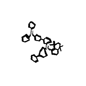 CC1(C)CCC(C)(C)c2c(N(c3ccc(-c4ccccc4)cc3)c3cccc(-c4ccc(N(c5ccccc5)c5ccccc5)cc4)c3)cccc21